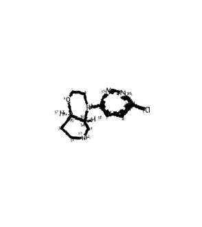 Clc1ccc(N2CCO[C@@H]3CCNC[C@H]32)nn1